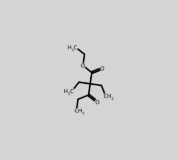 CCOC(=O)C(CC)(CC)C(=O)CC